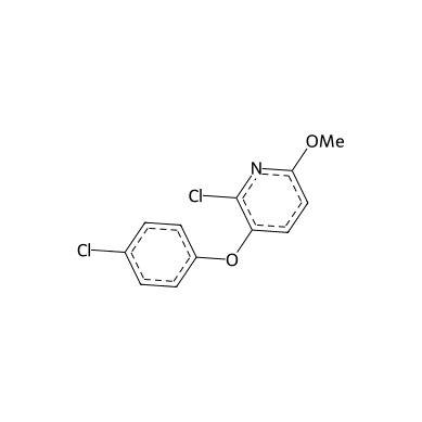 COc1ccc(Oc2ccc(Cl)cc2)c(Cl)n1